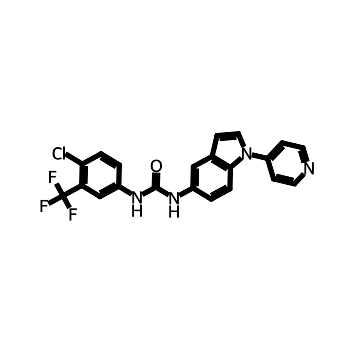 O=C(Nc1ccc(Cl)c(C(F)(F)F)c1)Nc1ccc2c(ccn2-c2ccncc2)c1